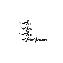 O=S(=O)(O)CCO.O=S(=O)(O)CCO.O=S(=O)(O)CCO.O=S(=O)(O)CCO.O=S(=O)(O)CCO.[NaH].[NaH].[NaH]